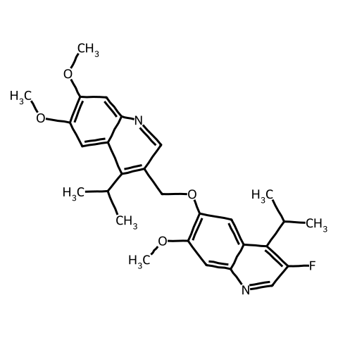 COc1cc2ncc(COc3cc4c(C(C)C)c(F)cnc4cc3OC)c(C(C)C)c2cc1OC